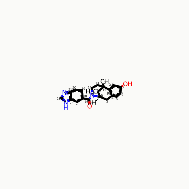 CC1[C@H]2Cc3ccc(O)cc3C1(C)CCN2C(=O)c1ccc2nc[nH]c2c1